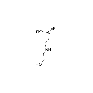 CCCN(CCC)CCNCCO